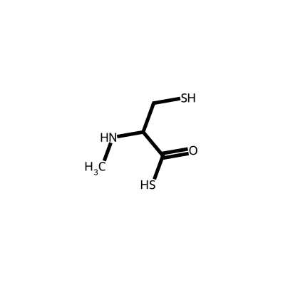 CNC(CS)C(=O)S